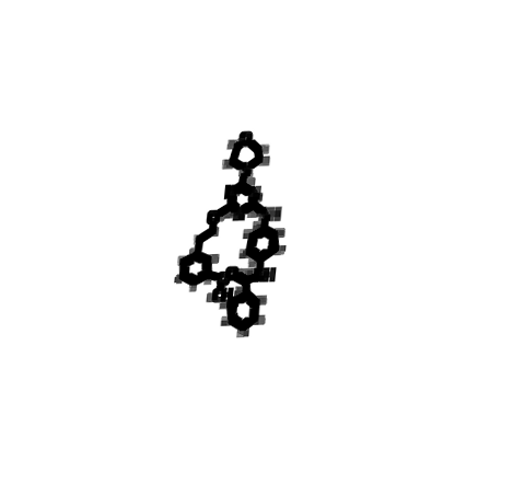 COc1cccc(CCOc2nc(Nc3ccc(NC(=O)c4ccccc4)cc3)nc(N3CCOCC3)n2)c1